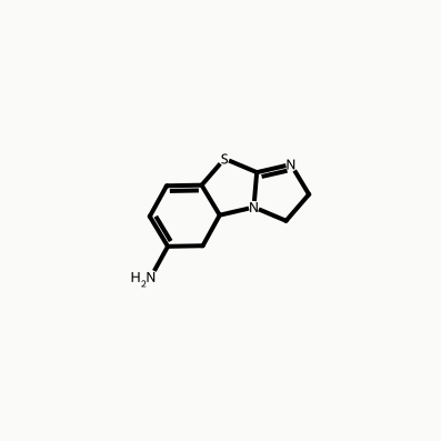 NC1=CC=C2SC3=NCCN3C2C1